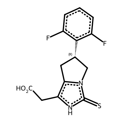 O=C(O)Cc1[nH]c(=S)n2c1C[C@H](c1c(F)cccc1F)C2